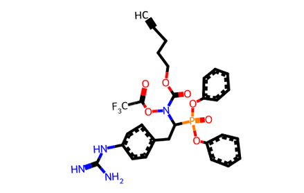 C#CCCCOC(=O)N(OC(=O)C(F)(F)F)C(Cc1ccc(NC(=N)N)cc1)P(=O)(Oc1ccccc1)Oc1ccccc1